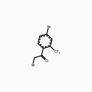 O=C(CBr)c1ccc(Br)cc1C(F)(F)F